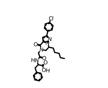 CCCCCC1CN(CC(=O)NC(Cc2ccccc2)C(=O)O)C(=O)c2cc(-c3ccc(Cl)cc3)nn21